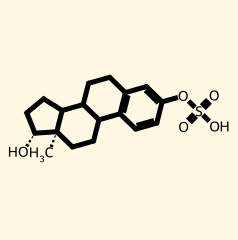 C[C@@]12CCC3c4ccc(OS(=O)(=O)O)cc4CCC3C1CC[C@H]2O